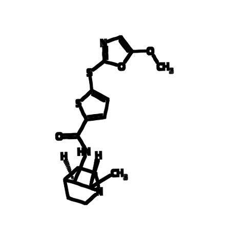 COc1cnc(Sc2ccc(C(=O)N[C@@H]3C4CCN(CC4)[C@H]3C)s2)o1